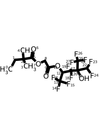 CCC(C)(C)C(=O)OCC(=O)OC(C(F)(F)F)C(F)(F)C(O)(C(F)F)C(F)(F)F